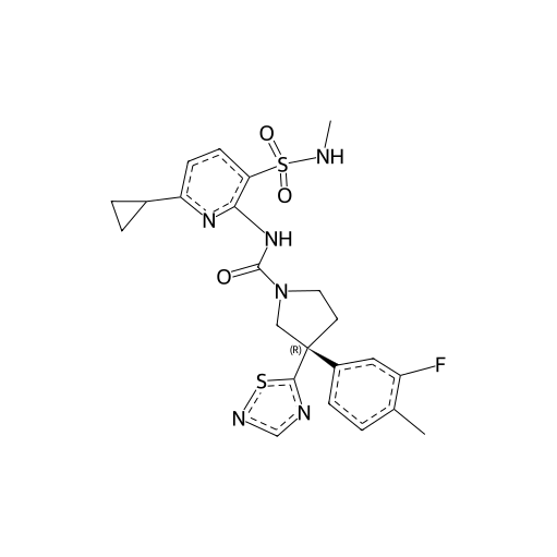 CNS(=O)(=O)c1ccc(C2CC2)nc1NC(=O)N1CC[C@](c2ccc(C)c(F)c2)(c2ncns2)C1